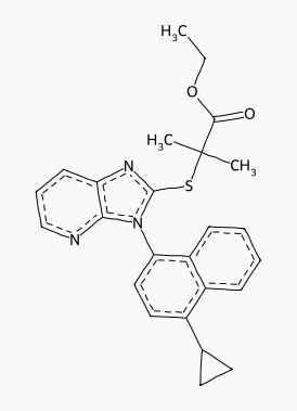 CCOC(=O)C(C)(C)Sc1nc2cccnc2n1-c1ccc(C2CC2)c2ccccc12